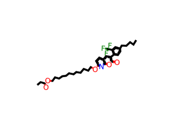 CCCCCc1ccc(-c2cc3ccc(OCCCCCCCCCCCCOC(=O)CC)nc3oc2=O)c(C(F)(F)F)c1